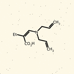 C=CCN(C=C(CC)C(=O)O)CC=C